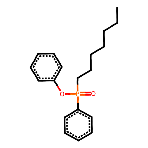 CCCCCCCP(=O)(Oc1ccccc1)c1ccccc1